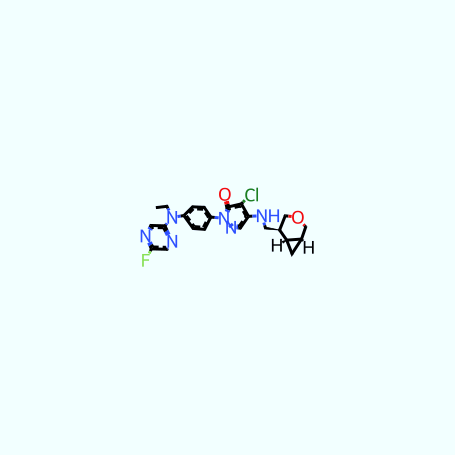 CCN(c1ccc(-n2ncc(NC[C@H]3COC[C@@H]4C[C@@H]43)c(Cl)c2=O)cc1)c1cnc(F)cn1